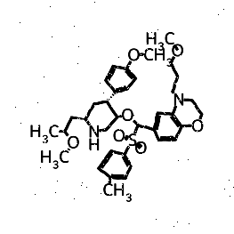 COCCCN1CCOc2ccc(C(O[C@H]3CN[C@@H](C[C@H](C)OC)C[C@@H]3c3ccc(OC)cc3)S(=O)(=O)c3ccc(C)cc3)cc21